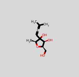 B[C@@H]1O[C@H](CO)[C@H](O)C1(O)C=C=C(C)C